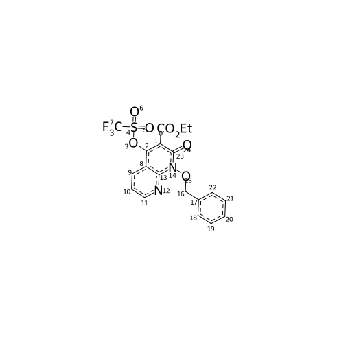 CCOC(=O)c1c(OS(=O)(=O)C(F)(F)F)c2cccnc2n(OCc2ccccc2)c1=O